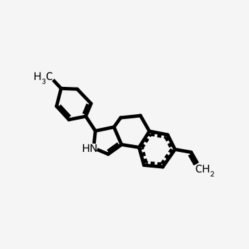 C=Cc1ccc2c(c1)CCC1C2=CNC1C1=CCC(C)C=C1